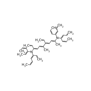 C=C/C=C(\C=C/C)N(/C(C)=C/C=C(C=C)/C(C)=C/C=C(\C=C)N(/C(C=C)=C/C=C\C)C(/C=C\C)=C/C)C(/C=C\C)=C/C=C